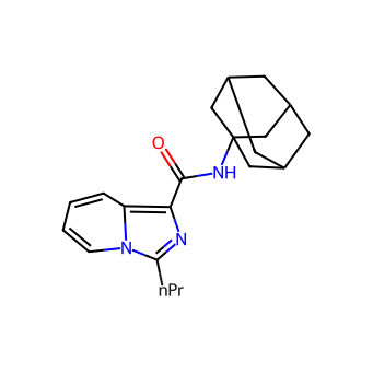 CCCc1nc(C(=O)NC23CC4CC(CC(C4)C2)C3)c2ccccn12